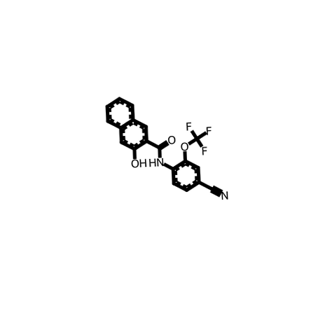 N#Cc1ccc(NC(=O)c2cc3ccccc3cc2O)c(OC(F)(F)F)c1